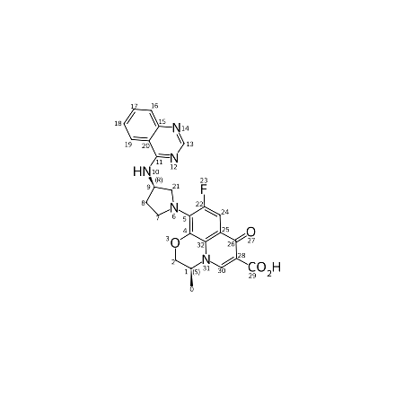 C[C@H]1COc2c(N3CC[C@@H](Nc4ncnc5ccccc45)C3)c(F)cc3c(=O)c(C(=O)O)cn1c23